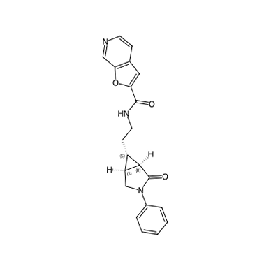 O=C(NCC[C@H]1[C@@H]2CN(c3ccccc3)C(=O)[C@H]12)c1cc2ccncc2o1